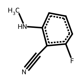 CNc1cccc(F)c1C#N